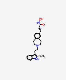 Cc1[nH]c2ccccc2c1CCN1CCc2ccc(/C=C/C(=O)NO)cc2CC1